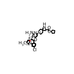 Cc1ccn(-c2cc(Cl)ccc2[C@@H](Oc2cc(N3CCC4(CC3)CNC(C(=O)OC3CCCC3)C4)nc(N)n2)C(F)(F)F)n1